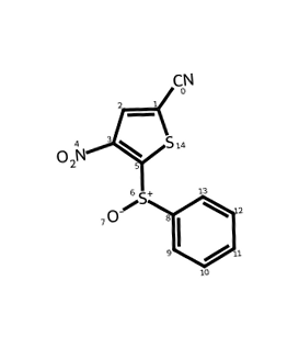 N#Cc1cc([N+](=O)[O-])c([S+]([O-])c2ccccc2)s1